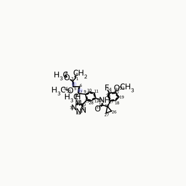 C=C/C(OC)=C(\C=C(/C)c1ccc(NC(=O)C2(c3ccc(OC)c(F)c3)CC2)cc1-c1nnn[nH]1)OC